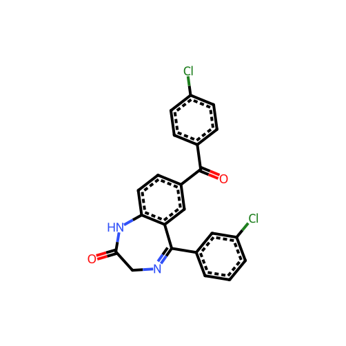 O=C1CN=C(c2cccc(Cl)c2)c2cc(C(=O)c3ccc(Cl)cc3)ccc2N1